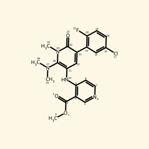 COC(=O)c1cnccc1Nc1cc(-c2cc(Cl)ccc2F)c(=O)n(C)c1N(C)C